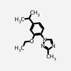 CCOc1cc(C(C)C)ccc1-n1cnc(C)n1